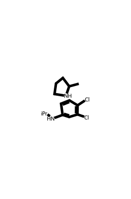 CC(C)Nc1ccc(Cl)c(Cl)c1.CC1CCCN1